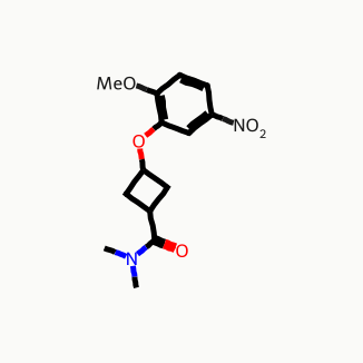 COc1ccc([N+](=O)[O-])cc1OC1CC(C(=O)N(C)C)C1